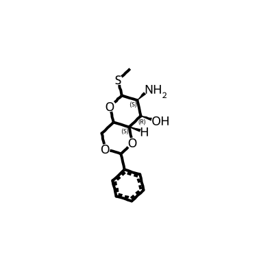 CSC1OC2COC(c3ccccc3)O[C@H]2[C@H](O)[C@@H]1N